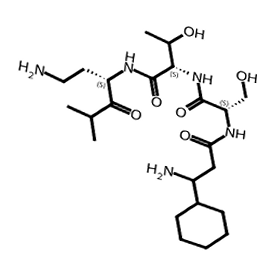 CC(C)C(=O)[C@H](CCN)NC(=O)[C@@H](NC(=O)[C@H](CO)NC(=O)CC(N)C1CCCCC1)C(C)O